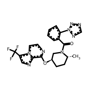 C[C@@H]1CC[C@@H](Oc2nccn3c(C(F)(F)F)cnc23)CN1C(=O)c1ccccc1-n1ncnn1